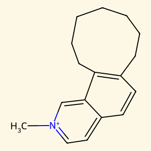 C[n+]1ccc2ccc3c(c2c1)CCCCCCC3